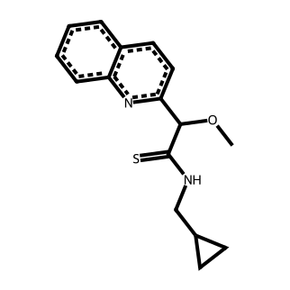 COC(C(=S)NCC1CC1)c1ccc2ccccc2n1